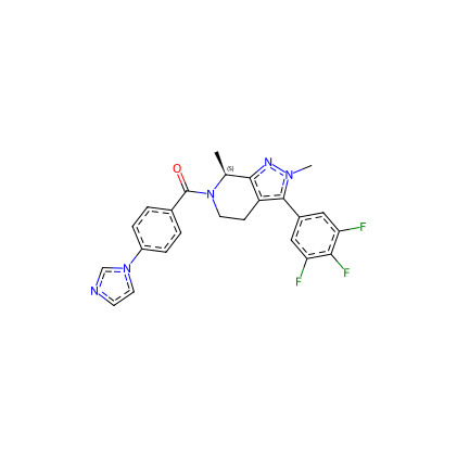 C[C@H]1c2nn(C)c(-c3cc(F)c(F)c(F)c3)c2CCN1C(=O)c1ccc(-n2ccnc2)cc1